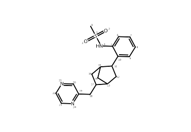 CS(=O)(=O)Nc1ccccc1C1CC2CC1CC2Cc1cnccn1